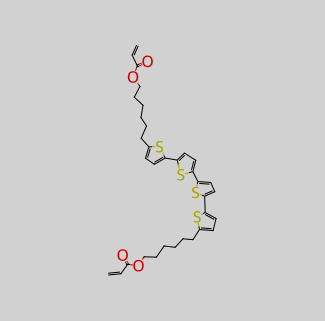 C=CC(=O)OCCCCCCc1ccc(-c2ccc(-c3ccc(-c4ccc(CCCCCCOC(=O)C=C)s4)s3)s2)s1